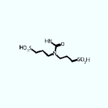 [NH]C(=O)N(CCCS(=O)(=O)O)CCCS(=O)(=O)O